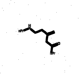 C=C(CCNCCC)CC(=O)CCC